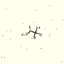 CCC(O)(O)C(C)OC